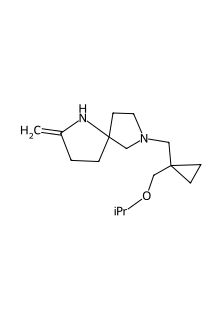 C=C1CCC2(CCN(CC3(COC(C)C)CC3)C2)N1